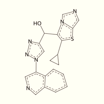 OC(c1cn(-c2cncc3ccccc23)nn1)c1c(C2CC2)sc2cncn12